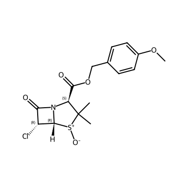 COc1ccc(COC(=O)[C@@H]2N3C(=O)[C@@H](Cl)[C@H]3[S+]([O-])C2(C)C)cc1